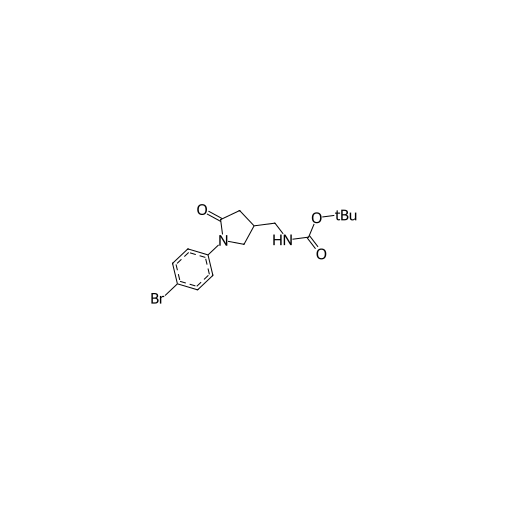 CC(C)(C)OC(=O)NCC1CC(=O)N(c2ccc(Br)cc2)C1